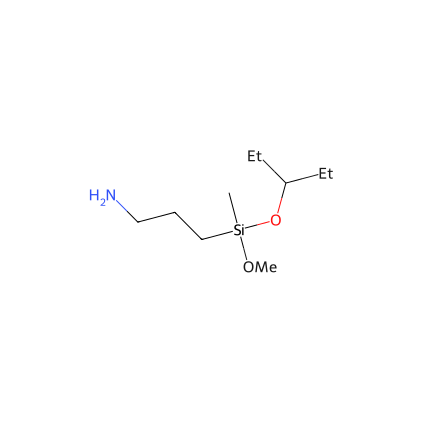 CCC(CC)O[Si](C)(CCCN)OC